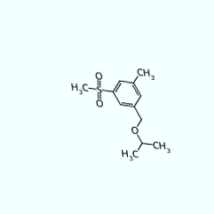 Cc1cc(COC(C)C)cc(S(C)(=O)=O)c1